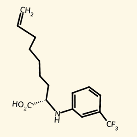 C=CCCCCC[C@H](Nc1cccc(C(F)(F)F)c1)C(=O)O